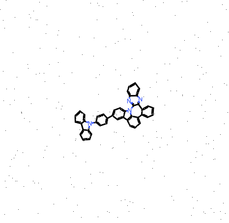 c1ccc2c(c1)-c1nc3ccccc3nc1-n1c3ccc(-c4ccc(-n5c6ccccc6c6ccccc65)cc4)cc3c3cccc-2c31